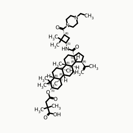 C=C(C)[C@@H]1CC[C@]2(C(=O)N[C@H]3C[C@@H](C(=O)N4CCN(CC)CC4)C3(C)C)CC[C@]3(C)[C@H](CC[C@@H]4[C@@]5(C)CC[C@H](OC(=O)CC(C)(C)C(=O)O)C(C)(C)[C@@H]5CC[C@]43C)[C@@H]12